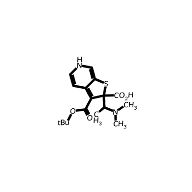 CC(N(C)C)C1(C(=O)O)SC2=CNC=CC2=C1C(=O)OC(C)(C)C